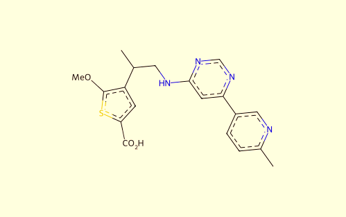 COc1sc(C(=O)O)cc1C(C)CNc1cc(-c2ccc(C)nc2)ncn1